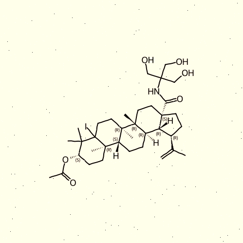 C=C(C)[C@@H]1CC[C@]2(C(=O)NC(CO)(CO)CO)CC[C@]3(C)[C@H](CC[C@@H]4[C@@]5(C)CC[C@H](OC(C)=O)C(C)(C)C5(I)CC[C@]43C)[C@@H]12